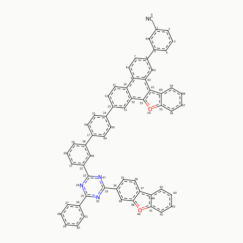 N#Cc1cccc(-c2ccc3c4ccc(-c5ccc(-c6cccc(-c7nc(-c8ccccc8)nc(-c8ccc9c(c8)oc8ccccc89)n7)c6)cc5)cc4c4oc5ccccc5c4c3c2)c1